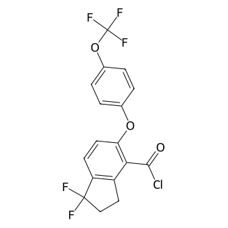 O=C(Cl)c1c(Oc2ccc(OC(F)(F)F)cc2)ccc2c1CCC2(F)F